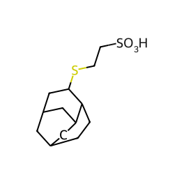 O=S(=O)(O)CCSC1CC2CC3CCC1C(C3)C2